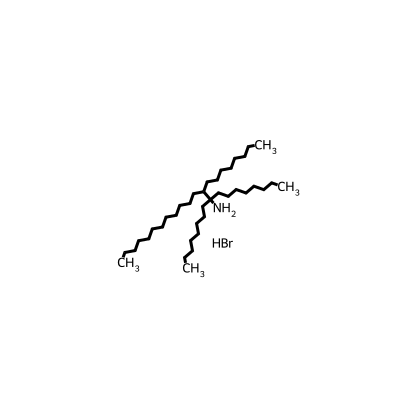 Br.CCCCCCCCCCCCC(CCCCCCCC)C(N)(CCCCCCCC)CCCCCCCC